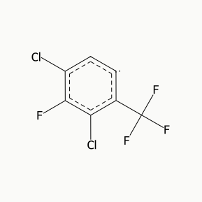 Fc1c(Cl)c[c]c(C(F)(F)F)c1Cl